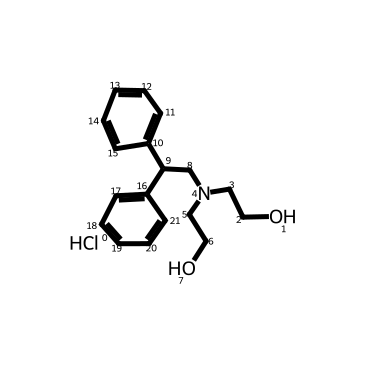 Cl.OCCN(CCO)CC(c1ccccc1)c1ccccc1